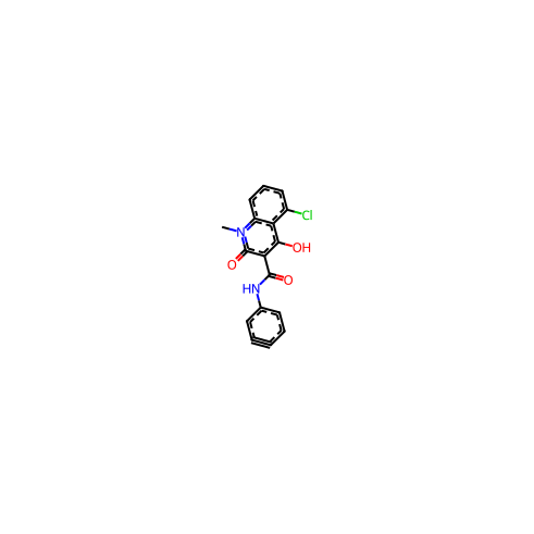 Cn1c(=O)c(C(=O)Nc2cc#ccc2)c(O)c2c(Cl)cccc21